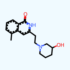 Cc1cccc2c(=O)[nH]c(CCN3CCCC(O)C3)cc12